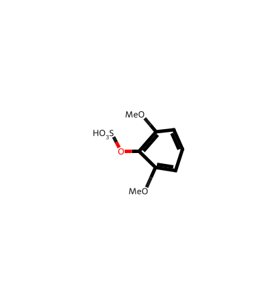 COc1cccc(OC)c1OS(=O)(=O)O